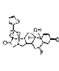 C[C@@H]1CC2C3C[C@H](F)C4=CC(=O)C=CC4(C)[C@@]3(F)[C@@H](O)C[C@]2(C)[C@@]1(OC(=O)c1ccco1)C(=O)SO